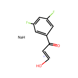 O=C(/C=C/O)c1cc(F)cc(F)c1.[NaH]